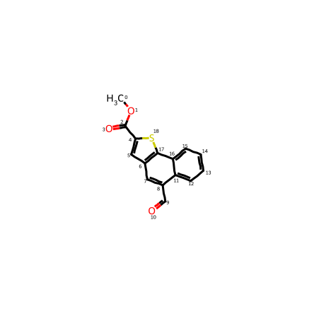 COC(=O)c1cc2cc(C=O)c3ccccc3c2s1